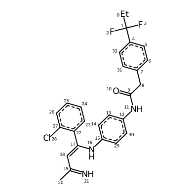 CCC(F)(F)c1ccc(CC(=O)Nc2ccc(N/C(=C\C(C)=N)c3ccccc3Cl)cc2)cc1